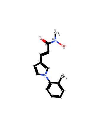 Cc1ccccc1-n1ccc(C=CC(=O)N(C)O)c1